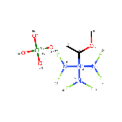 COC(C)[N+](N(F)F)(N(F)F)N(F)F.[O-][Cl+3]([O-])([O-])[O-]